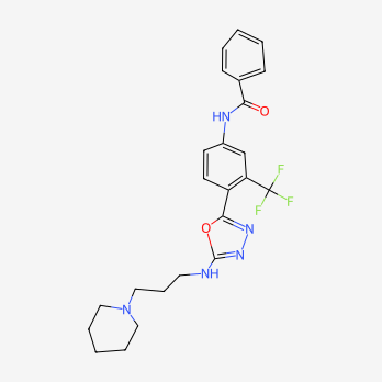 O=C(Nc1ccc(-c2nnc(NCCCN3CCCCC3)o2)c(C(F)(F)F)c1)c1ccccc1